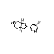 Brc1cncc(C2=C[C@H]3CNCC[C@H]3C2)c1